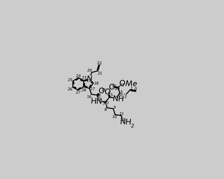 C=CC[C@H](NC(=O)[C@@H](CCCCN)NC(=O)Cc1cn(CC=C)c2ccccc12)C(=O)OC